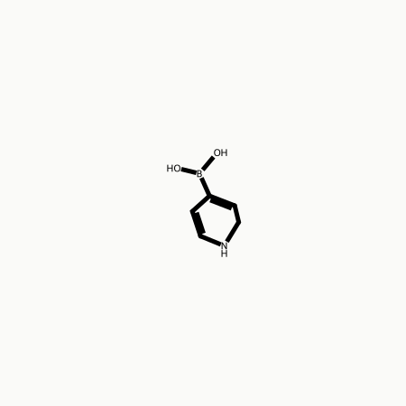 OB(O)C1=CCNC=C1